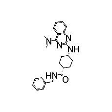 CN(C)c1nc(N[C@H]2CC[C@@H](C(=O)NCc3ccccc3)CC2)nc2ccccc12